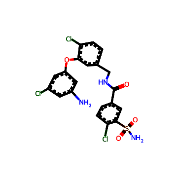 Nc1cc(Cl)cc(Oc2cc(CNC(=O)c3ccc(Cl)c(S(N)(=O)=O)c3)ccc2Cl)c1